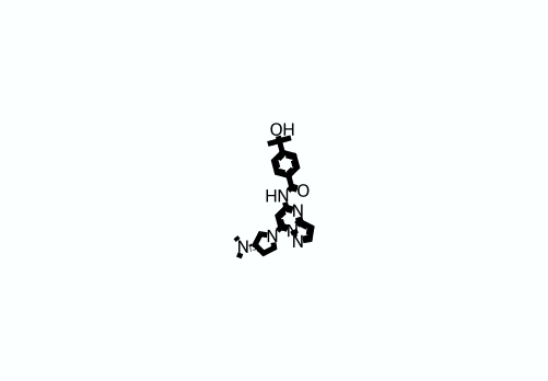 CN(C)[C@H]1CCN(c2cc(NC(=O)c3ccc(C(C)(C)O)cc3)nc3ccnn23)C1